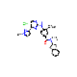 COc1cc(C(=O)N(C)C2Cc3ccccc3C2)ccc1Nc1ncc(Cl)c(-c2ccn(C(C)C)n2)n1